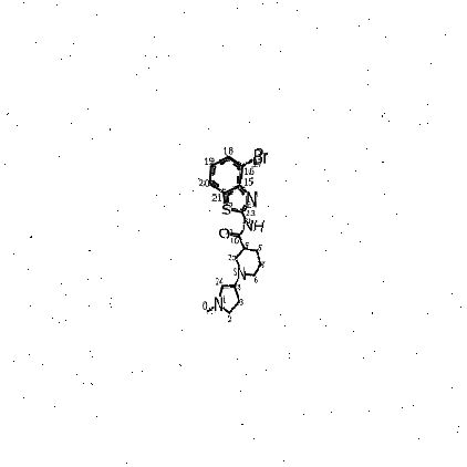 CN1CCC(N2CCCC(C(=O)Nc3nc4c(Br)cccc4s3)C2)C1